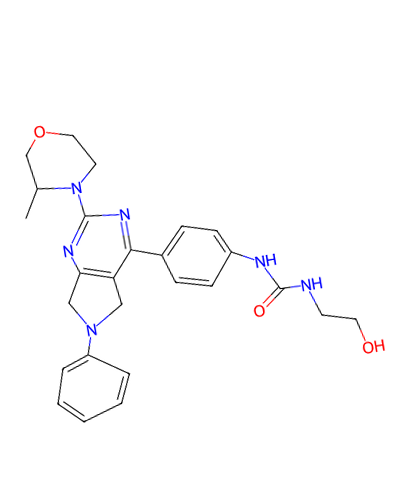 CC1COCCN1c1nc2c(c(-c3ccc(NC(=O)NCCO)cc3)n1)CN(c1ccccc1)C2